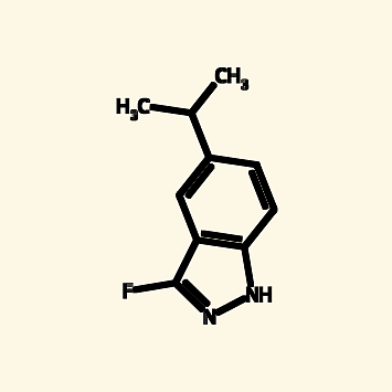 CC(C)c1ccc2[nH]nc(F)c2c1